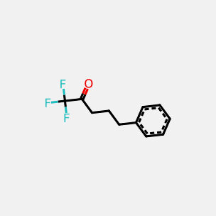 O=C(CCCc1ccccc1)C(F)(F)F